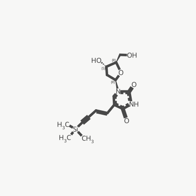 C[Si](C)(C)C#CC=Cc1cn([C@H]2C[C@H](O)[C@@H](CO)O2)c(=O)[nH]c1=O